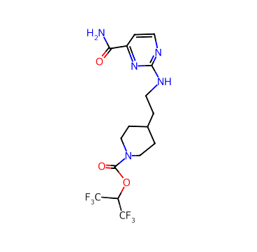 NC(=O)c1ccnc(NCCC2CCN(C(=O)OC(C(F)(F)F)C(F)(F)F)CC2)n1